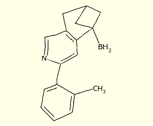 BC12CC(Cc3cnc(-c4ccccc4C)cc31)C2